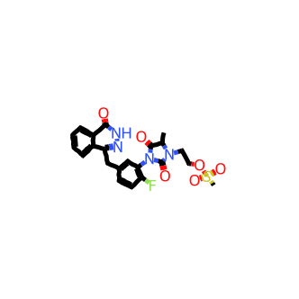 CC1C(=O)N(c2cc(Cc3n[nH]c(=O)c4ccccc34)ccc2F)C(=O)N1CCOS(C)(=O)=O